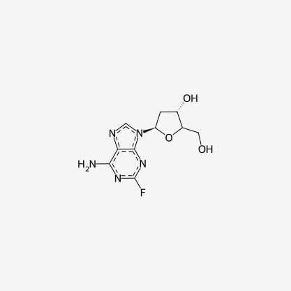 Nc1nc(F)nc2c1ncn2[C@H]1C[C@H](O)C(CO)O1